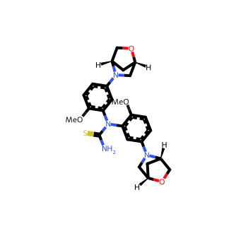 COc1ccc(N2C[C@@H]3C[C@H]2CO3)cc1N(C(N)=S)c1cc(N2C[C@@H]3C[C@H]2CO3)ccc1OC